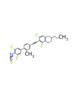 CCCC1CCc2c(cc(F)c(C#Cc3ccc(-c4cc(F)c(N=C=S)c(F)c4)c(C)c3)c2F)C1